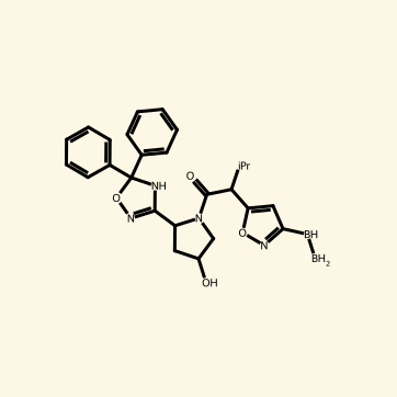 BBc1cc(C(C(=O)N2CC(O)CC2C2=NOC(c3ccccc3)(c3ccccc3)N2)C(C)C)on1